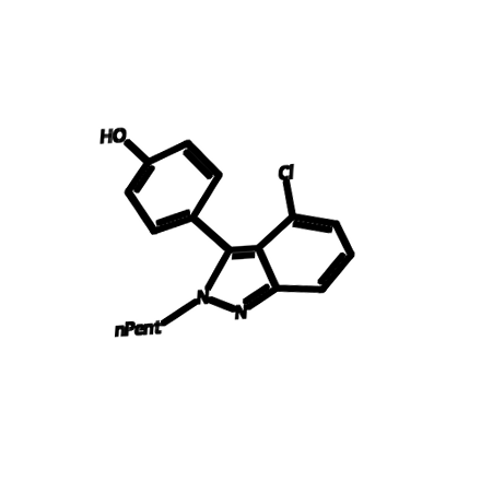 CCCCCn1nc2cccc(Cl)c2c1-c1ccc(O)cc1